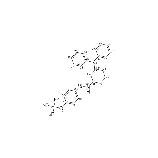 FC(F)(F)Oc1ccc(SNC2CCCN(C(c3ccccc3)c3ccccc3)C2)cc1